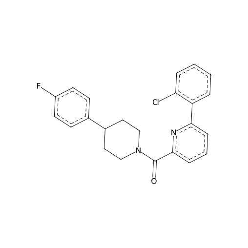 O=C(c1cccc(-c2ccccc2Cl)n1)N1CCC(c2ccc(F)cc2)CC1